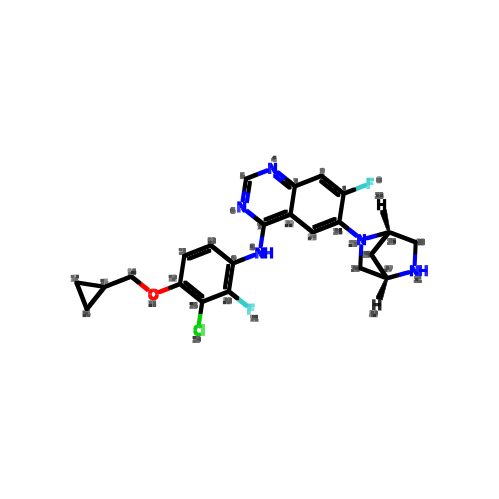 Fc1cc2ncnc(Nc3ccc(OCC4CC4)c(Cl)c3F)c2cc1N1C[C@@H]2C[C@H]1CN2